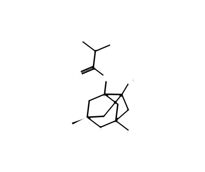 CC(C)C(=O)OC12CC3(C)CC1(O)C[C@](C)(C3)C2